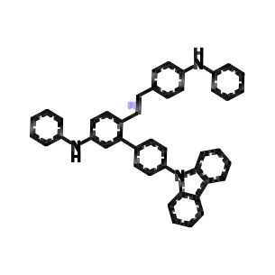 C(=C\c1ccc(Nc2ccccc2)cc1-c1ccc(-n2c3ccccc3c3ccccc32)cc1)/c1ccc(Nc2ccccc2)cc1